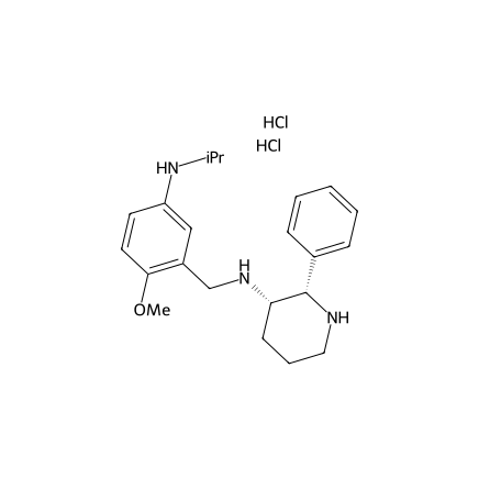 COc1ccc(NC(C)C)cc1CN[C@H]1CCCN[C@H]1c1ccccc1.Cl.Cl